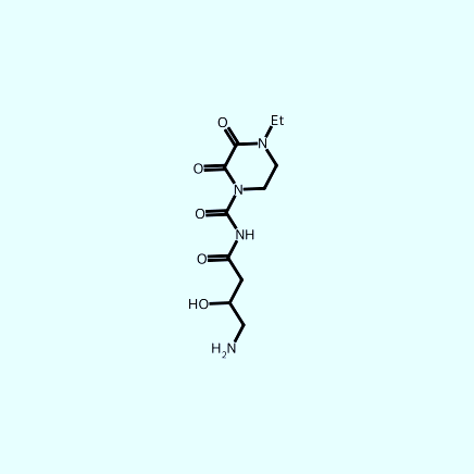 CCN1CCN(C(=O)NC(=O)CC(O)CN)C(=O)C1=O